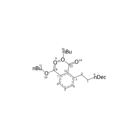 CCCCCCCCCCCCc1cccc(C(=O)OCCCC)c1C(=O)OCCCC